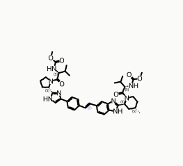 COC(=O)N[C@H](C(=O)N1CCC[C@H]1c1nc(-c2ccc(/C=C/c3ccc4[nH]c([C@@H]5C[C@@H](C)CCN5C(=O)[C@@H](NC(=O)OC)C(C)C)nc4c3)cc2)c[nH]1)C(C)C